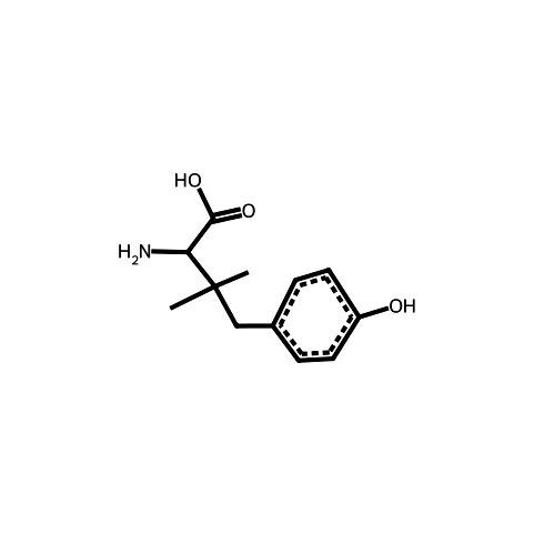 CC(C)(Cc1ccc(O)cc1)C(N)C(=O)O